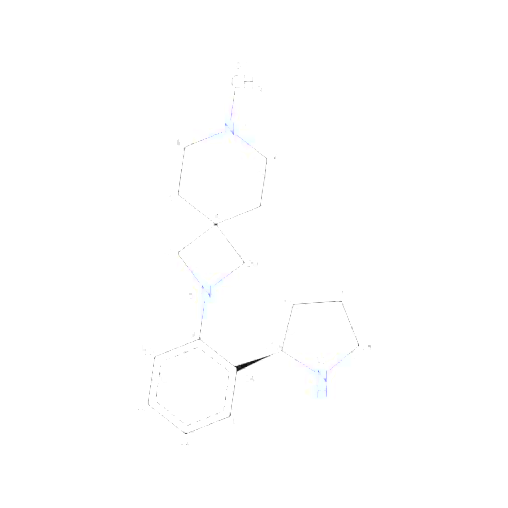 CN1CCC2(CC1)CN(c1ccccc1[C@H]1CCCN1)C2